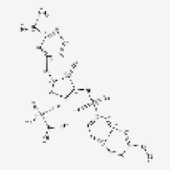 CCOc1ccc2ccc(S(=O)(=O)N[C@H]3CCN(Cc4cccc(C(=N)N)c4)C3=O)cc2c1.O=C(O)C(F)(F)F